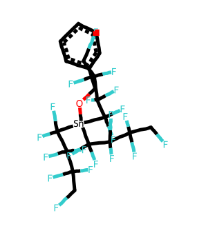 FCC(F)(F)C(F)(F)[C](F)(F)[Sn]([O]Cc1ccccc1)([C](F)(F)C(F)(F)C(F)(F)CF)[C](F)(F)C(F)(F)C(F)(F)CF